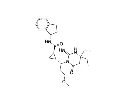 CCC1(CC)CC(=O)N(C(CCOC)[C@@H]2C[C@H]2C(=O)N[C@H]2CCc3ccccc32)C(=N)N1